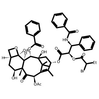 CCC(Br)C(=O)O[C@@H](C(=O)O[C@H]1C[C@@]2(O)[C@@H](OC(=O)c3ccccc3)[C@@H]3[C@]4(OC(C)=O)OC[C@@H]4C[C@H](O)[C@@]3(C)C(=O)[C@H](OC(C)=O)C(=C1C)C2(C)C)[C@@H](NC(=O)c1ccccc1)c1ccccc1